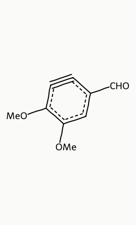 COc1c#cc(C=O)cc1OC